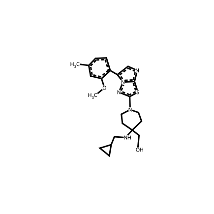 COc1cc(C)ccc1-c1cnc2sc(N3CCC(CO)(NCC4CC4)CC3)nn12